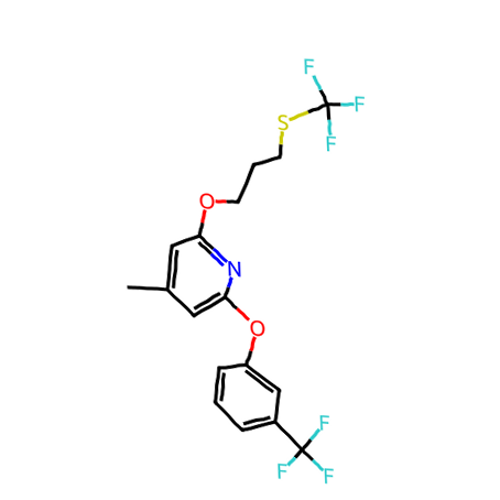 Cc1cc(OCCCSC(F)(F)F)nc(Oc2cccc(C(F)(F)F)c2)c1